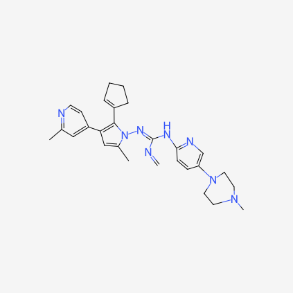 C=N/C(=N\n1c(C)cc(-c2ccnc(C)c2)c1C1=CCCC1)Nc1ccc(N2CCN(C)CC2)cn1